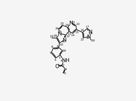 C=CC(=O)Nc1cccc(-c2nc3c4cc(-c5cnn(C)c5)cnc4ccn3c2C)c1